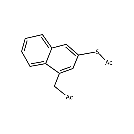 CC(=O)Cc1cc(SC(C)=O)cc2ccccc12